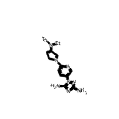 CCN(CC)C1CCN(c2ccc(-n3nc(N)nc3N)cn2)C1